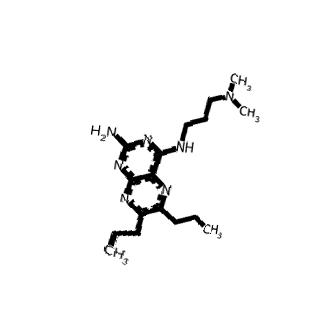 CCCc1nc2nc(N)nc(NCCCN(C)C)c2nc1CCC